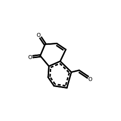 O=Cc1cccc2c1C=CC(=O)C2=O